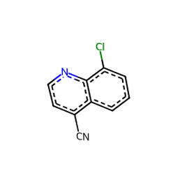 N#Cc1ccnc2c(Cl)cccc12